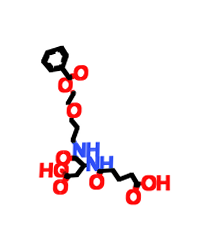 O=C(O)CCCC(=O)NC(CC(=O)O)C(=O)NCCCOCCOC(=O)c1ccccc1